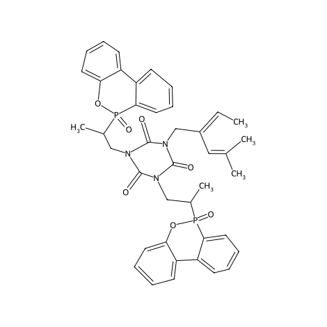 C/C=C(\C=C(C)C)Cn1c(=O)n(CC(C)P2(=O)Oc3ccccc3-c3ccccc32)c(=O)n(CC(C)P2(=O)Oc3ccccc3-c3ccccc32)c1=O